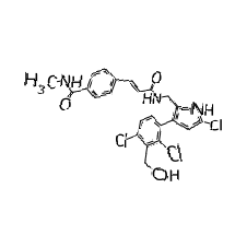 CNC(=O)c1ccc(C=CC(=O)NCc2[nH]c(Cl)cc2-c2ccc(Cl)c(CO)c2Cl)cc1